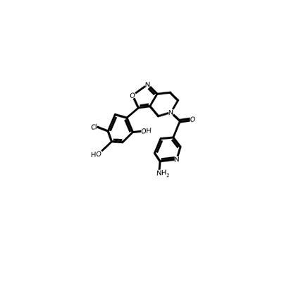 Nc1ccc(C(=O)N2CCc3noc(-c4cc(Cl)c(O)cc4O)c3C2)cn1